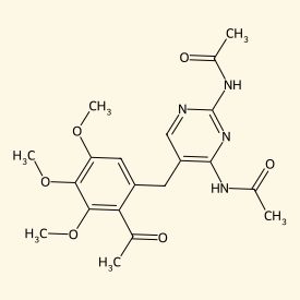 COc1cc(Cc2cnc(NC(C)=O)nc2NC(C)=O)c(C(C)=O)c(OC)c1OC